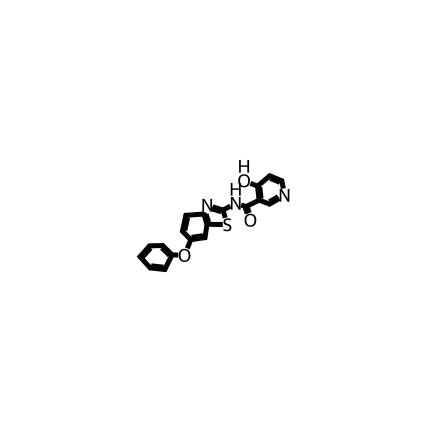 O=C(Nc1nc2ccc(Oc3ccccc3)cc2s1)c1cnccc1O